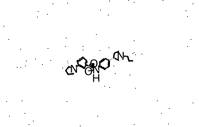 CCCN1CC[C@@H](c2ccc(NS(=O)(=O)c3cccc(N4CCC[C@@H]4C)c3)cc2)C1